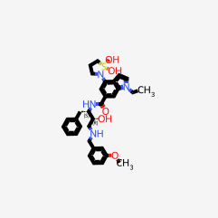 CCn1ccc2c(N3CCCS3(O)O)cc(C(=O)N[C@@H](Cc3ccccc3)[C@H](O)CNCc3cccc(OC)c3)cc21